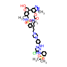 Cc1ccc(C(CC(=O)O)c2cc(OCC(=O)NCCCCCCN3CCN(c4ccc(Nc5ncc(Cl)c(Nc6ccccc6S(=O)(=O)C(C)C)n5)cc4)CC3)c3c(c2)nnn3C)cc1CNS(=O)(=O)c1ccccc1C